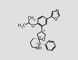 CC(C)Oc1ccc(-c2cnco2)cc1[C@H]1CO[C@]2(CCCN[C@H]2c2ccccc2)C1